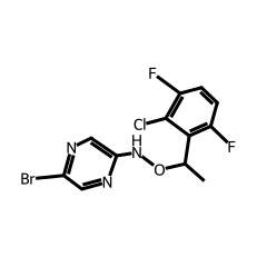 CC(ONc1cnc(Br)cn1)c1c(F)ccc(F)c1Cl